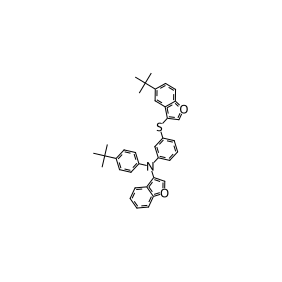 CC(C)(C)c1ccc(N(c2cccc(Sc3coc4ccc(C(C)(C)C)cc34)c2)c2coc3ccccc23)cc1